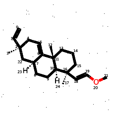 C=C[C@@]1(C)CC=C2[C@@H](CC[C@H]3[C@@]2(C)CCC[C@@]3(C)/C=C/OC)C1